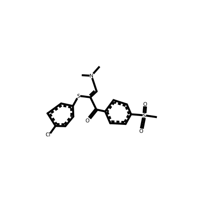 CN(C)C=C(Sc1ccc(Cl)cc1)C(=O)c1ccc(S(C)(=O)=O)cc1